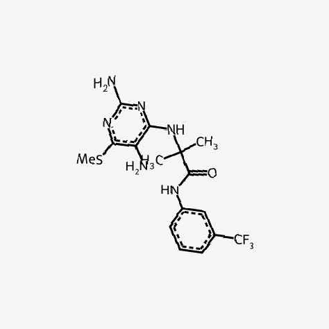 CSc1nc(N)nc(NC(C)(C)C(=O)Nc2cccc(C(F)(F)F)c2)c1N